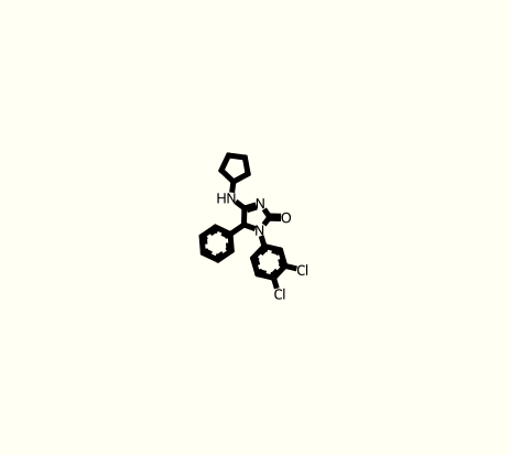 O=C1N=C(NC2CCCC2)C(c2ccccc2)N1c1ccc(Cl)c(Cl)c1